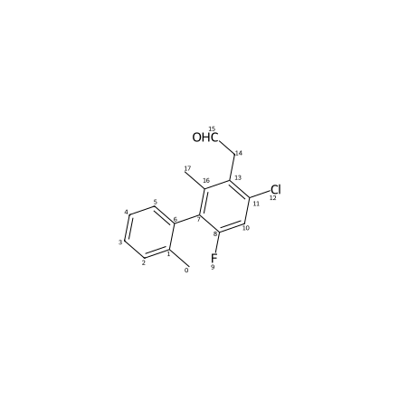 Cc1ccccc1-c1c(F)cc(Cl)c(CC=O)c1C